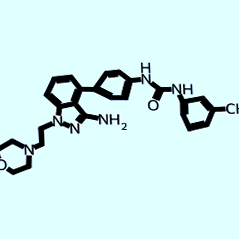 Cc1cccc(NC(=O)Nc2ccc(-c3cccc4c3c(N)nn4CCN3CCOCC3)cc2)c1